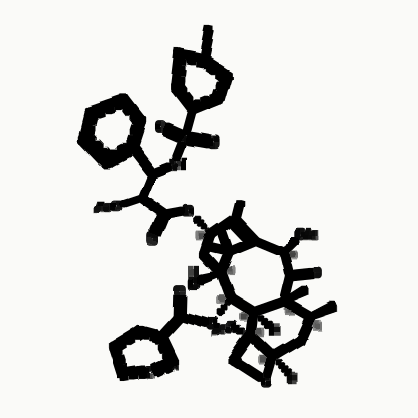 CC(=O)OC(C(=O)O[C@H]1C[C@@]2(O)[C@@H](OC(=O)c3ccccc3)[C@@H]3[C@]4(OC(C)=O)CO[C@@H]4C[C@H](C)[C@@]3(C)C(=O)[C@H](OC(C)=O)C(=C1C)C2(C)C)C(NS(=O)(=O)c1ccc(C)cc1)c1ccccc1